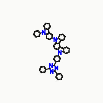 c1ccc(-c2nc(-c3ccccc3)nc(-c3ccc(-n4c5ccccc5c5c6c7ccccc7n(-c7ccc8c(c7)c7ccccc7n8-c7ccccc7)c6ccc54)cc3)n2)cc1